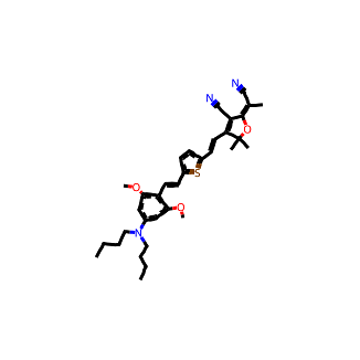 CCCCN(CCCC)c1cc(OC)c(/C=C/c2ccc(/C=C/C3=C(C#N)C(=C(/C)C#N)/OC3(C)C)s2)c(OC)c1